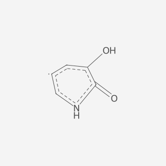 O=c1[nH]c[c]cc1O